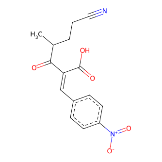 CC(CCC#N)C(=O)C(=Cc1ccc([N+](=O)[O-])cc1)C(=O)O